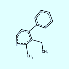 C[CH]c1c(C)cccc1-c1ccccc1